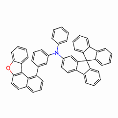 c1ccc(N(c2cccc(-c3cccc4ccc5oc6ccccc6c5c34)c2)c2ccc3c(c2)C2(c4ccccc4-c4ccccc42)c2ccccc2-3)cc1